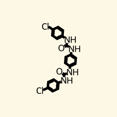 O=C(Nc1ccc(Cl)cc1)Nc1ccc(NC(=O)Nc2ccc(Cl)cc2)cc1